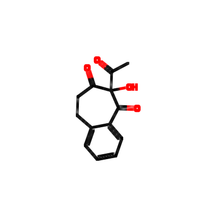 CC(=O)C1(O)C(=O)CCc2ccccc2C1=O